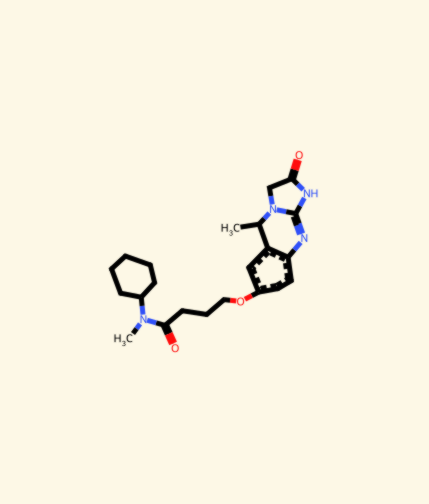 CC1c2cc(OCCCC(=O)N(C)C3CCCCC3)ccc2N=C2NC(=O)CN21